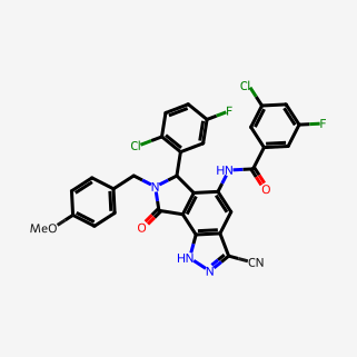 COc1ccc(CN2C(=O)c3c(c(NC(=O)c4cc(F)cc(Cl)c4)cc4c(C#N)n[nH]c34)C2c2cc(F)ccc2Cl)cc1